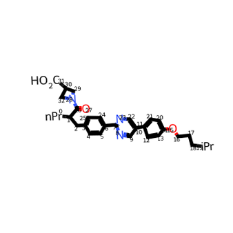 CCCC(Cc1ccc(-c2ncc(-c3ccc(OCCCC(C)C)cc3)cn2)cc1)C(=O)N1CC(C(=O)O)C1